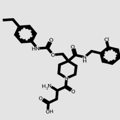 CCc1ccc(NC(=O)OCC2(C(=O)NCc3ccccc3Cl)CCN(C(=O)C(N)CC(=O)O)CC2)cc1